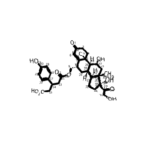 C[C@]12CCC(=O)C=C1[C@@H](COC(=O)CC(CC(=O)O)c1ccc(O)cc1)C[C@@H]1[C@@H]2[C@@H](O)C[C@@]2(C)[C@H]1CC[C@]2(O)C(=O)CO